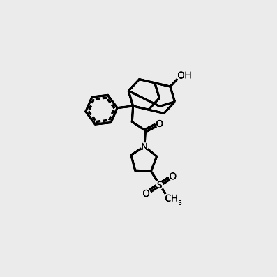 CS(=O)(=O)C1CCN(C(=O)CC2(c3ccccc3)C3CC4CC2CC(C3)C4O)C1